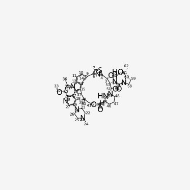 CCO[C@@H]1c2nc(cs2)-c2ccc3c(c2)c(c(-c2cc(N4CCN(C)CC4)cnc2[C@H](C)OC)n3CC)CC(C)(C)COC(=O)[C@@H]2CCCN(N2)C(=O)[C@H]1NC(=O)N1CC[C@H]1[C@@H](C)O